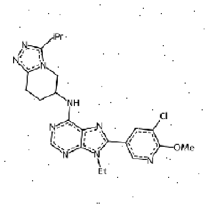 CCn1c(-c2cnc(OC)c(Cl)c2)nc2c(NC3CCc4nnc(C(C)C)n4C3)ncnc21